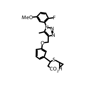 COc1ccc(F)c(-n2nnc(COc3cccc(C(CC(=O)O)SC4CC4)c3)c2C)c1